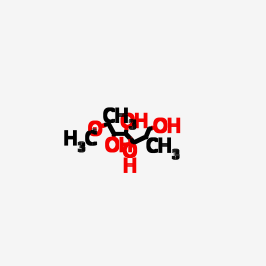 CO[C@@H](C)C(O)C(O)C(O)C(C)CO